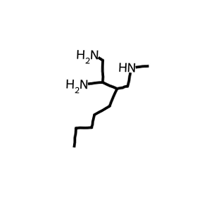 CCCCCC(CNC)C(N)CN